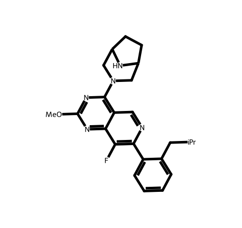 COc1nc(N2CC3CCC(C2)N3)c2cnc(-c3ccccc3CC(C)C)c(F)c2n1